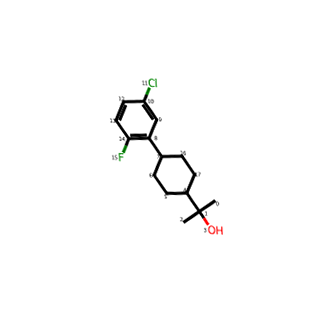 CC(C)(O)C1CCC(c2cc(Cl)ccc2F)CC1